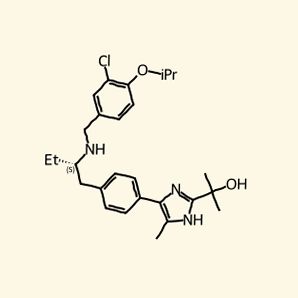 CC[C@@H](Cc1ccc(-c2nc(C(C)(C)O)[nH]c2C)cc1)NCc1ccc(OC(C)C)c(Cl)c1